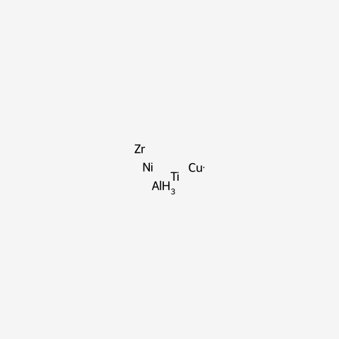 [AlH3].[Cu].[Ni].[Ti].[Zr]